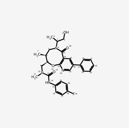 CC(CO)N1C[C@H](C)[C@H](CN(C)C(=O)Nc2ccc(F)cc2)Oc2ncc(-c3ccccc3)cc2C1=O